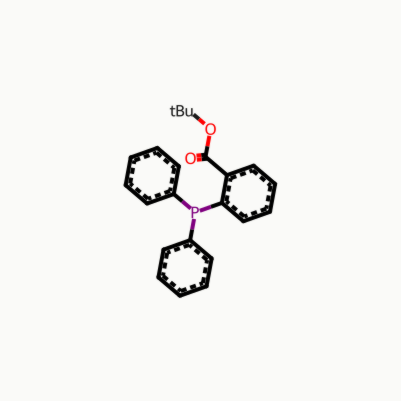 CC(C)(C)OC(=O)c1ccccc1P(c1ccccc1)c1ccccc1